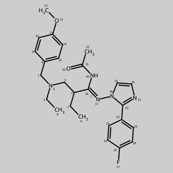 CCC(CN(CC)Cc1ccc(OC)cc1)/C(=N/n1ccnc1-c1ccc(F)cc1)NC(C)=O